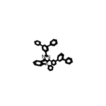 c1ccc(-c2cccc(-c3cccc(-c4nc(-c5cc(-c6ccccc6)cc(-c6ccccc6)c5)nc5c6ccccc6n(-c6ccccc6)c45)c3)c2)cc1